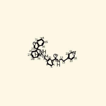 N=C(NCc1cccc(C(=O)NCCc2ccncc2)c1)NC(C=O)(c1ccccc1)c1ccccc1